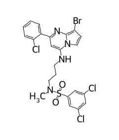 CN(CCCNc1cc(-c2ccccc2Cl)nc2c(Br)ccn12)S(=O)(=O)c1cc(Cl)cc(Cl)c1